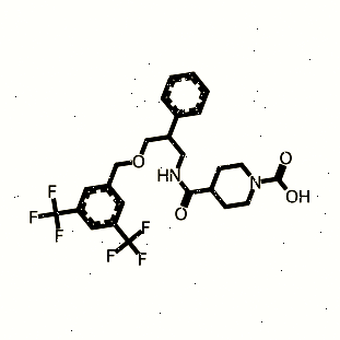 O=C(NCC(COCc1cc(C(F)(F)F)cc(C(F)(F)F)c1)c1ccccc1)C1CCN(C(=O)O)CC1